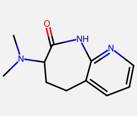 CN(C)C1CCc2cccnc2NC1=O